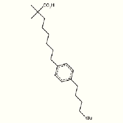 CC(C)(C)CCCCc1ccc(CCCCCCC(C)(C)C(=O)O)cc1